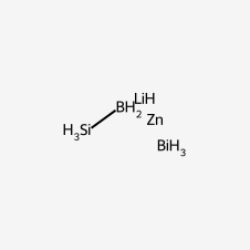 B[SiH3].[BiH3].[LiH].[Zn]